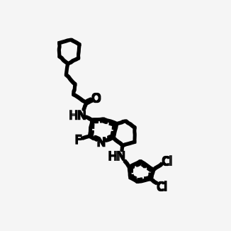 O=C(CCCC1CCCCC1)Nc1cc2c(nc1F)C(Nc1ccc(Cl)c(Cl)c1)CCC2